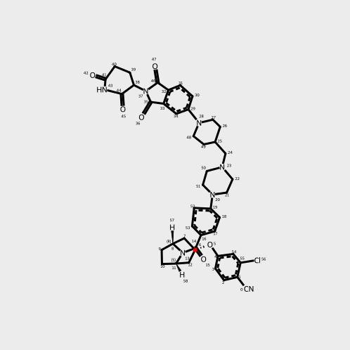 N#Cc1ccc(O[C@H]2C[C@H]3CC[C@@H](C2)N3C(=O)c2ccc(N3CCN(CC4CCN(c5ccc6c(c5)C(=O)N(C5CCC(=O)NC5=O)C6=O)CC4)CC3)cc2)cc1Cl